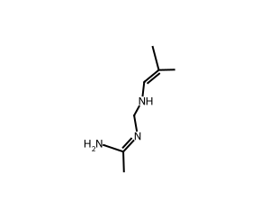 CC(C)=CNC/N=C(/C)N